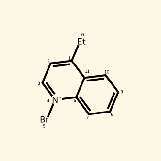 CCc1cc[n+](Br)c2ccccc12